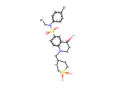 CCc1ccc(N(CC(C)C)S(=O)(=O)c2ccc3c(c2)C(=O)CCN3CC2CCS(=O)(=O)CC2)cc1